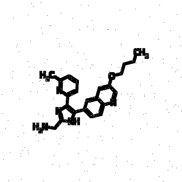 CCCCOc1cnc2ccc(-c3[nH]c(CN)nc3-c3cccc(C)n3)cc2c1